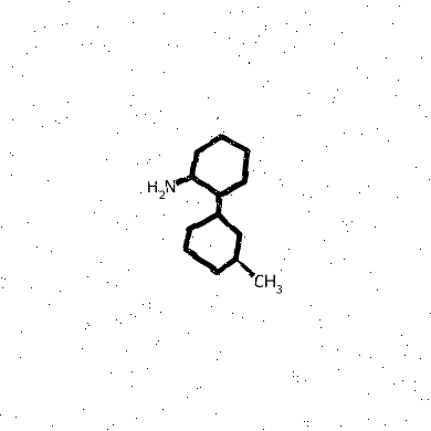 C[C@H]1CCCC(C2CCCCC2N)C1